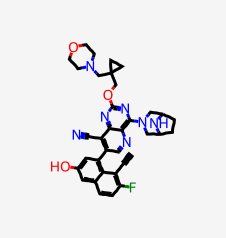 C#Cc1c(F)ccc2cc(O)cc(-c3cnc4c(N5CC6CCC(C5)N6)nc(OCC5(CN6CCOCC6)CC5)nc4c3C#N)c12